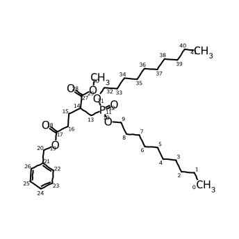 CCCCCCCCCCOP(=O)(CC(CCC(=O)OCc1ccccc1)C(=O)OC)OCCCCCCCCCC